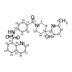 Cc1cccc(C2(O)CCN(C(=O)c3ccc(NS(=O)(=O)c4cccc5cccnc45)cc3)CC2)n1